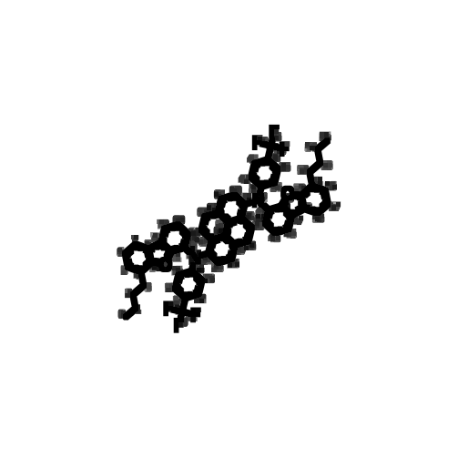 CCCCc1cccc2c1oc1c(N(c3ccc(C(F)(F)F)cc3)c3ccc4ccc5c(N(c6ccc(C(F)(F)F)cc6)c6cccc7c6oc6c(CCCC)cccc67)ccc6ccc3c4c65)cccc12